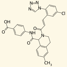 Cc1ccc2c(c1)CCN(C(=O)C=Cc1cc(Cl)ccc1-n1cnnn1)C2C(=O)Nc1ccc(C(=O)O)cc1